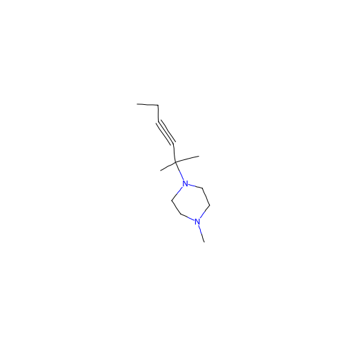 CCC#CC(C)(C)N1CCN(C)CC1